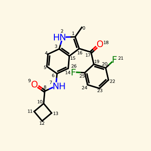 Cc1[nH]c2ccc(NC(=O)C3CCC3)cc2c1C(=O)c1c(F)cccc1F